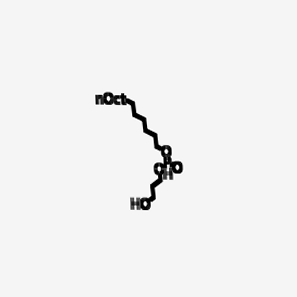 CCCCCCCCCCCCCCO[PH](=O)OCCCO